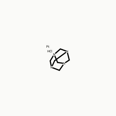 C1N2CN3CN1CN(C2)C3.Cl.[Pt]